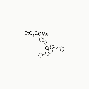 CCOC(=O)C(Cc1ccc(OCCOC2c3cc(-c4ccccc4)ccc3C=Cc3c(CCc4ccccc4)cccc32)cc1)OC